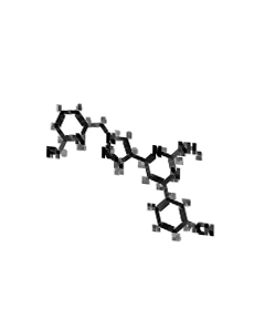 CC(C)c1cccc(Cn2cc(-c3cc(-c4cccc(C#N)c4)nc(N)n3)nn2)n1